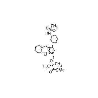 COC(=O)C(C)(C)OCc1cc(-c2cccc(NS(C)(=O)=O)c2)n(Cc2ccccc2Cl)n1